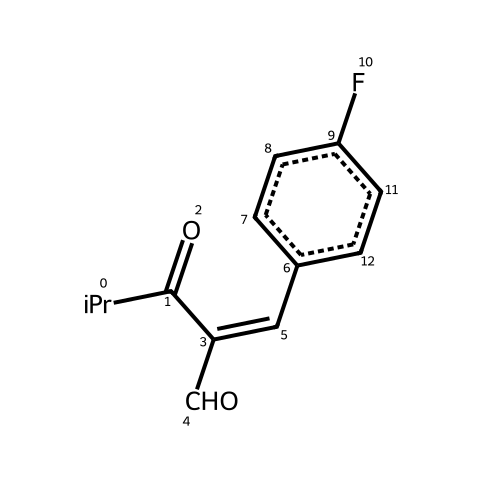 CC(C)C(=O)C(C=O)=Cc1ccc(F)cc1